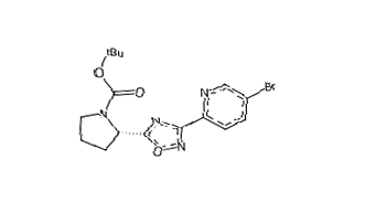 CC(C)(C)OC(=O)N1CCC[C@H]1c1nc(-c2ccc(Br)cn2)no1